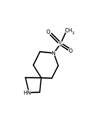 CS(=O)(=O)N1CCC2(CC1)CNC2